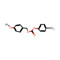 CC(C)Oc1ccc(COC(=O)Oc2ccc([N+](=O)[O-])cc2)cc1